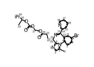 Cc1cnc2n1-c1ccc(Br)cc1C(c1ccccn1)=N[C@H]2CCC(=O)OCOC(=O)OC(C)C(C)C